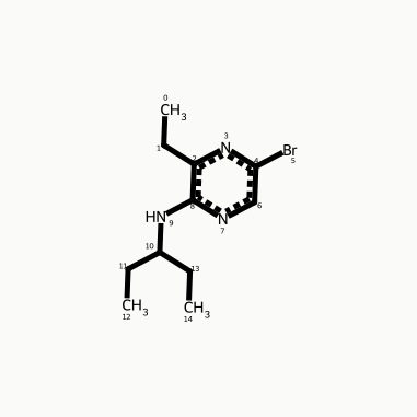 CCc1nc(Br)cnc1NC(CC)CC